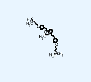 CC(C)C[n+]1c(/C=C/c2ccc(OCCCN(C)C)cc2)cccc1/C=C/c1ccc(OCCCN(C)C)cc1